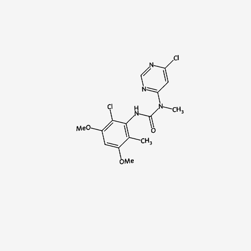 COc1cc(OC)c(Cl)c(NC(=O)N(C)c2cc(Cl)ncn2)c1C